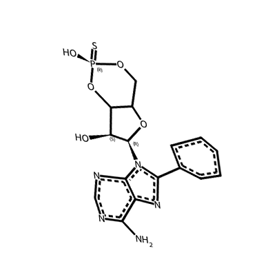 Nc1ncnc2c1nc(-c1ccccc1)n2[C@@H]1OC2CO[P@@](O)(=S)OC2[C@@H]1O